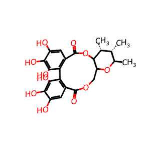 CC1OC2COC(=O)c3cc(O)c(O)c(O)c3-c3c(cc(O)c(O)c3O)C(=O)OC2[C@H](C)[C@@H]1C